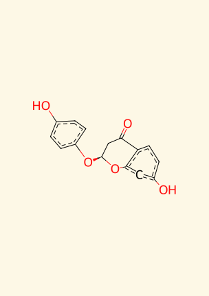 O=C1C[C@H](Oc2ccc(O)cc2)Oc2cc(O)ccc21